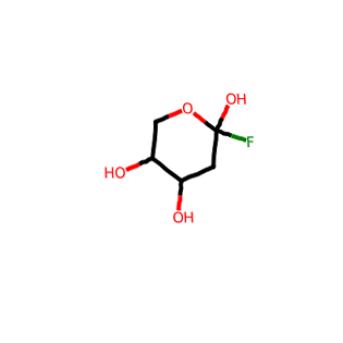 OC1COC(O)(F)CC1O